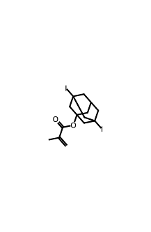 C=C(C)C(=O)OC12CC3CC(I)(CC(I)(C3)C1)C2